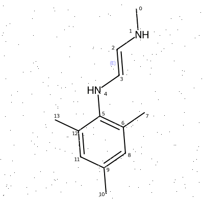 CN/C=C/Nc1c(C)cc(C)cc1C